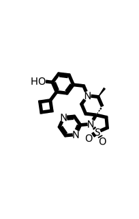 C[C@H]1C[C@]2(CCN1Cc1ccc(O)c(C3CCC3)c1)CCS(=O)(=O)N2c1cnccn1